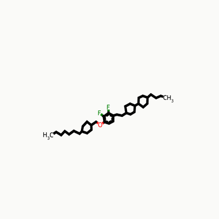 CCCCCCCC1CCC(COc2ccc(CCC3CCC(C4CCC(CCCC)CC4)CC3)c(F)c2F)CC1